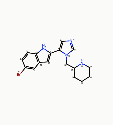 Brc1ccc2[nH]c(-c3cncn3CC3CCCCN3)cc2c1